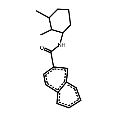 CC1CCCC(NC(=O)c2ccc3ccccc3c2)C1C